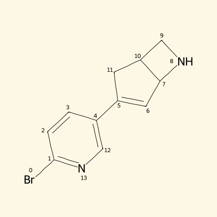 Brc1ccc(C2=CC3NCC3C2)cn1